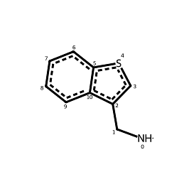 [NH]Cc1csc2ccccc12